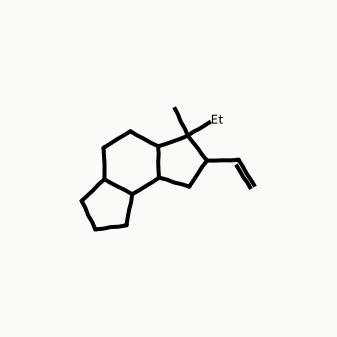 C=CC1CC2C3CCCC3CCC2C1(C)CC